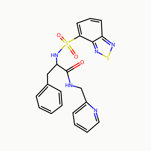 O=C(NCc1ccccn1)C(Cc1ccccc1)NS(=O)(=O)c1cccc2nsnc12